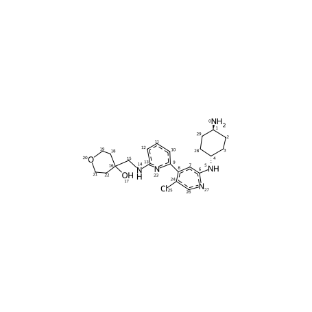 N[C@H]1CC[C@H](Nc2cc(-c3cccc(NCC4(O)CCOCC4)n3)c(Cl)cn2)CC1